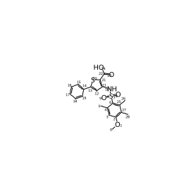 COc1cc(C)c(S(=O)(=O)Nc2cc(-c3ccccc3)sc2C(=O)O)c(C)c1C